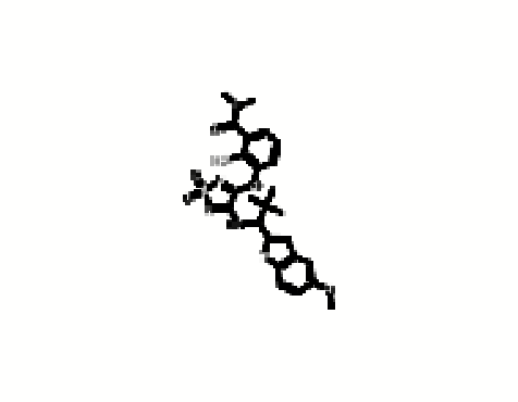 COc1ccc2oc(C(NC3=NS(=O)(=O)N=C3Nc3cccc(C(=O)N(C)C)c3O)C(C)(C)C)cc2c1